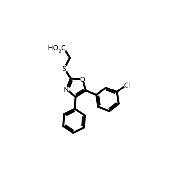 O=C(O)CSc1nc(-c2ccccc2)c(-c2cccc(Cl)c2)o1